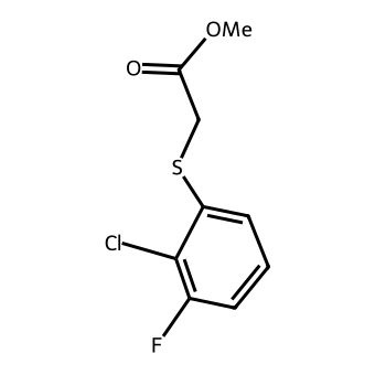 COC(=O)CSc1cccc(F)c1Cl